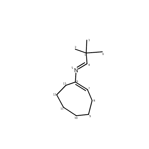 CC(C)(C)/C=N/C1=C/CCCCCC1